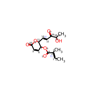 C/C=C(\C)C(=O)OC1C=CC(=O)OC1/C=C/C(=O)C(C)O